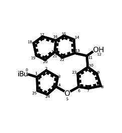 CCC(C)c1ccc(Oc2cccc(C(O)c3ccc4ccccc4c3)c2)cc1